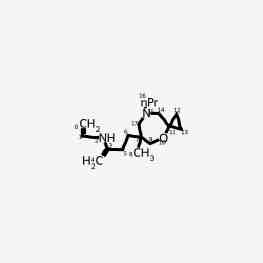 C=CNC(=C)CCC1(C)COC2(CC2)CN(CCC)C1